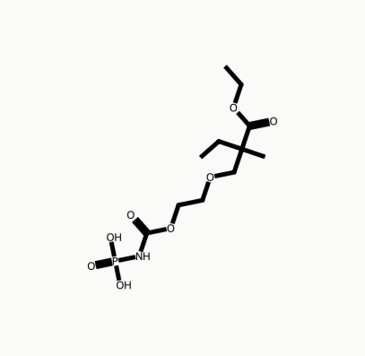 CCOC(=O)C(C)(CC)COCCOC(=O)NP(=O)(O)O